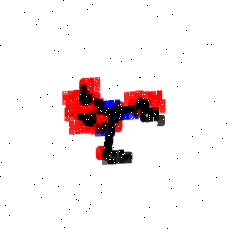 CNC(=O)CCCCCNC(=O)CN(CC(=O)NCCO[C@@H]1O[C@@H](C)[C@@H](O)[C@@H](O)[C@@H]1O)CC(=O)NC(CCO[C@H]1O[C@H](CO)[C@@H](O)[C@H](O)[C@@H]1O)CO[C@H]1O[C@H](CO)[C@@H](O)[C@H](O)[C@@H]1O